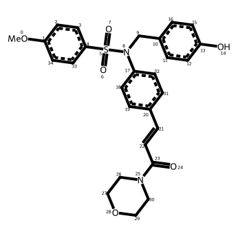 COc1ccc(S(=O)(=O)N(Cc2ccc(O)cc2)c2ccc(C=CC(=O)N3CCOCC3)cc2)cc1